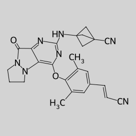 Cc1cc(/C=C/C#N)cc(C)c1Oc1nc(NC23CC(C#N)(C2)C3)nc2c(=O)n3n(c12)CCC3